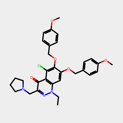 CCn1nc(CN2CCCC2)c(=O)c2c(Cl)c(OCc3ccc(OC)cc3)c(OCc3ccc(OC)cc3)cc21